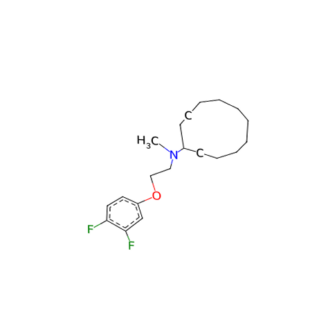 CN(CCOc1ccc(F)c(F)c1)C1CCCCCCCCCC1